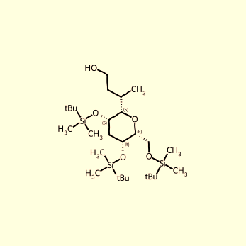 CC(CCO)[C@@H]1O[C@H](CO[Si](C)(C)C(C)(C)C)[C@H](O[Si](C)(C)C(C)(C)C)C[C@@H]1O[Si](C)(C)C(C)(C)C